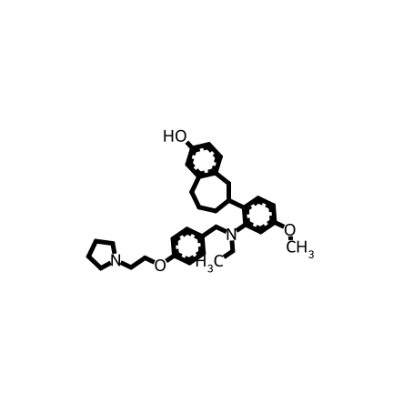 CCN(Cc1ccc(OCCN2CCCC2)cc1)c1cc(OC)ccc1C1CCCc2cc(O)ccc2C1